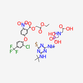 CCNc1nc(NC(C)(C)C)nc(SC)n1.CCOC(=O)COC(=O)c1cc(Oc2ccc(C(F)(F)F)cc2Cl)ccc1[N+](=O)[O-].O=C(O)CNCP(=O)(O)O